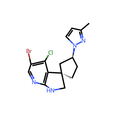 Cc1ccn([C@H]2CC[C@@]3(CNc4ncc(Br)c(Cl)c43)C2)n1